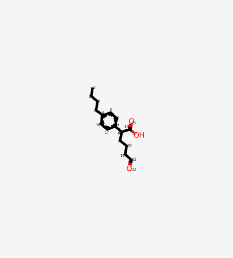 CCCCc1ccc(C(CCCC=O)C(=O)O)cc1